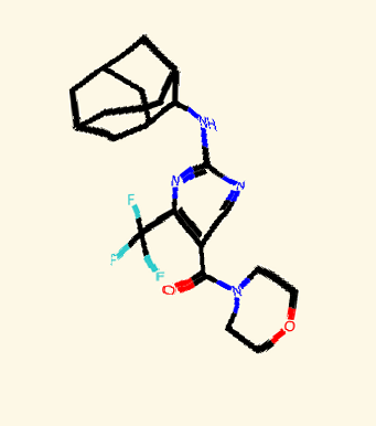 O=C(c1cnc(NC2C3CC4CC(C3)CC2C4)nc1C(F)(F)F)N1CCOCC1